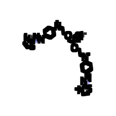 CN(CCOCCOCCN(C)c1ccc(/N=N/c2scc[n+]2C)cc1)c1ccc(/N=N/c2scc[n+]2C)cc1.[Cl-].[Cl-]